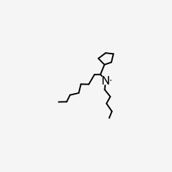 CCCCCCCC([N]CCCCC)C1CCCC1